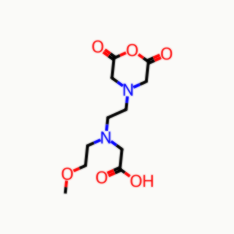 COCCN(CCN1CC(=O)OC(=O)C1)CC(=O)O